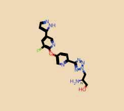 N[C@H](CO)Cn1nnc(-c2ccc(Oc3ncc(-c4ccn[nH]4)cc3F)cn2)n1